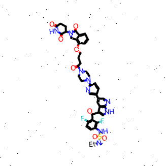 CCN(C)S(=O)(=O)Nc1ccc(F)c(C(=O)c2c[nH]c3ncc(-c4ccc(N5CCN(C(=O)CCCOc6cccc7c6CN(C6CCC(=O)NC6=O)C7=O)CC5)nc4)cc23)c1F